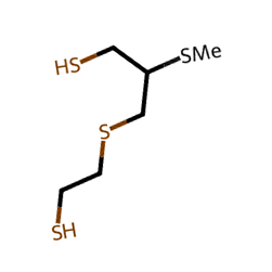 CSC(CS)CSCCS